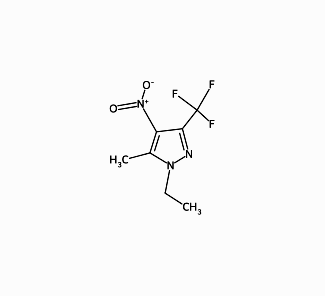 CCn1nc(C(F)(F)F)c([N+](=O)[O-])c1C